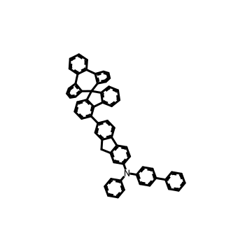 c1ccc(-c2ccc(N(c3ccccc3)c3ccc4c(c3)Cc3cc(-c5cccc6c5-c5ccccc5C65c6ccccc6-c6ccccc6-c6ccccc65)ccc3-4)cc2)cc1